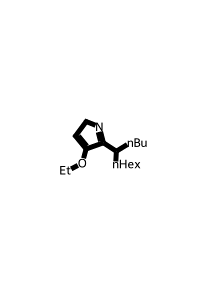 CCCCCCC(CCCC)C1=NCC=C1OCC